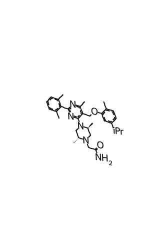 Cc1ccc(C(C)C)cc1OCc1c(C)nc(-c2c(C)cccc2C)nc1N1C[C@@H](C)N(CC(N)=O)C[C@@H]1C